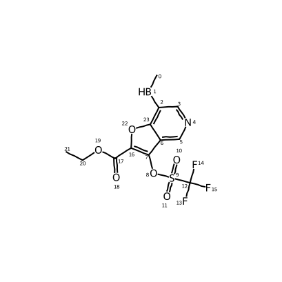 CBc1cncc2c(OS(=O)(=O)C(F)(F)F)c(C(=O)OCC)oc12